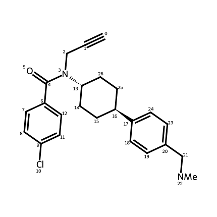 C#CCN(C(=O)c1ccc(Cl)cc1)[C@H]1CC[C@H](c2ccc(CNC)cc2)CC1